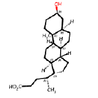 C[C@H](CCC(=O)O)[C@H]1CC[C@@H]2[C@@H]1CC[C@H]1[C@H]2CC[C@@H]2C[C@H](O)CC[C@@]21C